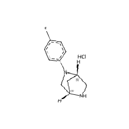 Cl.Fc1ccc(N2C[C@@H]3C[C@H]2CN3)cc1